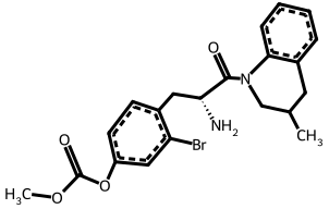 COC(=O)Oc1ccc(C[C@@H](N)C(=O)N2CC(C)Cc3ccccc32)c(Br)c1